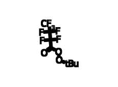 CC(C)(C)OOC(=O)C(F)(F)C(F)(F)C(F)(F)F